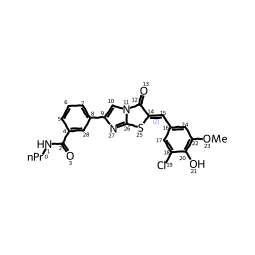 CCCNC(=O)c1cccc(-c2cn3c(=O)/c(=C/c4cc(Cl)c(O)c(OC)c4)sc3n2)c1